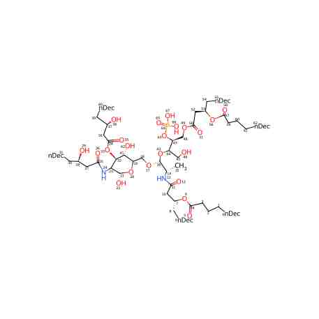 CCCCCCCCCCCCCC(=O)O[C@H](CCCCCCCCCCC)CC(=O)N[C@@H](C)[C@H](OCC1O[C@H](O)C(NC(=O)C[C@H](O)CCCCCCCCCCC)[C@@H](OC(=O)C[C@H](O)CCCCCCCCCCC)[C@@H]1O)OC(CO)[C@H](COC(=O)C[C@@H](CCCCCCCCCCC)OC(=O)CCCCCCCCCCCCC)OP(=O)(O)O